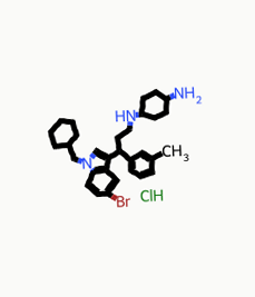 Cc1cccc(C(CCNC2CCC(N)CC2)c2cn(CC3CCCCC3)c3ccc(Br)cc23)c1.Cl